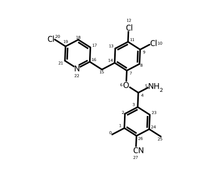 Cc1cc(C(N)Oc2cc(Cl)c(Cl)cc2Cc2ccc(Cl)cn2)cc(C)c1C#N